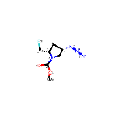 CC(C)(C)OC(=O)N1C[C@@H](N=[N+]=[N-])C[C@H]1CF